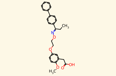 CC/C(=N\OCCOc1ccc(OC)c(CC(=O)O)c1)c1ccc(-c2ccccc2)cc1